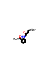 CCCCCCCCCCCC(=O)CNc1ccccc1C(=O)OC